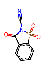 N#CN1C(=O)c2ccccc2S1(=O)=O